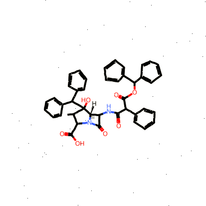 CC1C(C(=O)O)N2C(=O)C(NC(=O)C(C(=O)OC(c3ccccc3)c3ccccc3)c3ccccc3)[C@H]2C1(O)C(c1ccccc1)c1ccccc1